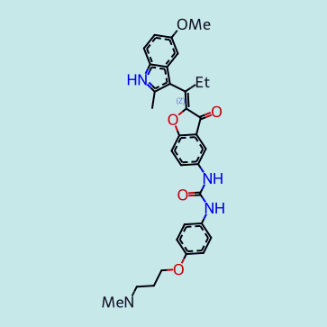 CC/C(=C1/Oc2ccc(NC(=O)Nc3ccc(OCCCNC)cc3)cc2C1=O)c1c(C)[nH]c2ccc(OC)cc12